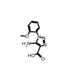 COc1ccccc1-n1nnc(C(=O)O)c1N